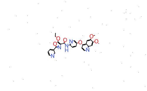 CCOc1oc(-c2cccnc2)nc1C(=O)Nc1ccc(Oc2ccnc3cc(OC)c(OC)cc23)cn1